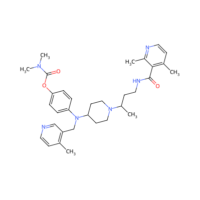 Cc1ccncc1CN(c1ccc(OC(=O)N(C)C)cc1)C1CCN(C(C)CCNC(=O)c2c(C)ccnc2C)CC1